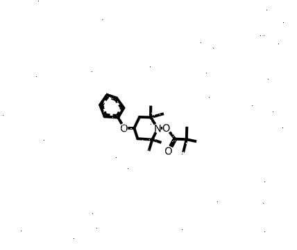 CC(C)(C)C(=O)ON1C(C)(C)CC(Oc2ccccc2)CC1(C)C